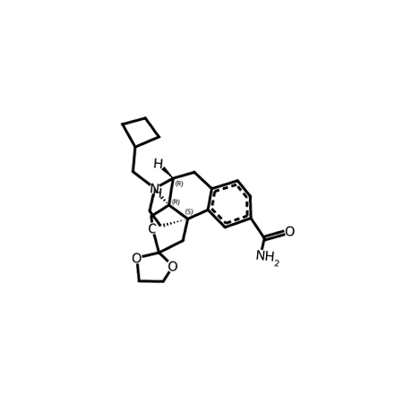 NC(=O)c1ccc2c(c1)[C@]13CCN(CC4CCC4)[C@H](C2)[C@@H]1CCC1(C3)OCCO1